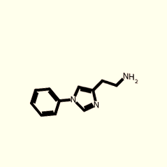 NCCc1cn(-c2ccccc2)cn1